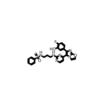 O=S(=O)(NCCCNc1nccc(-c2c(-c3ccc(F)c(O)c3)nc3occn23)n1)c1ccccc1